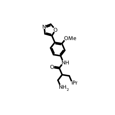 COc1cc(NC(=O)C(CN)CC(C)C)ccc1-c1cnco1